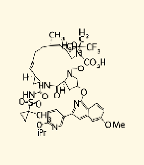 COc1ccc2c(O[C@@H]3C[C@H]4C(=O)N[C@]5(C(=O)NS(=O)(=O)C6(C)CC6)C[C@H]5C=CCC[C@H](C)C[C@@H](C)[C@H](N(C(=O)O)C(C)(C)C(F)(F)F)C(=O)N4C3)nc(-c3ccc(OC(C)C)nc3)cc2c1